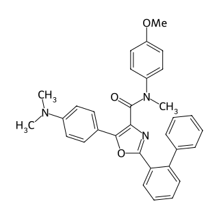 COc1ccc(N(C)C(=O)c2nc(-c3ccccc3-c3ccccc3)oc2-c2ccc(N(C)C)cc2)cc1